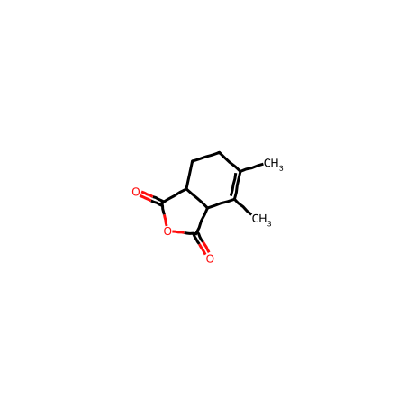 CC1=C(C)C2C(=O)OC(=O)C2CC1